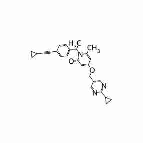 Cc1cc(OCc2cnc(C3CC3)nc2)cc(=O)n1[C@H](C)c1ccc(C#CC2CC2)cc1